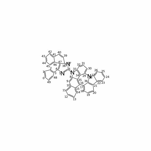 c1ccc(-c2nc(-n3c4cc5ccccc5c5c6cccc7c8ccccc8n(c8cccc3c8c54)c76)nc3ccc4ccccc4c23)cc1